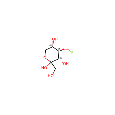 OCC1(O)OC[C@@H](O)[C@@H](OF)[C@@H]1O